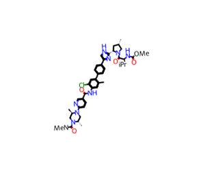 CNC(=O)N1C[C@@H](C)N(c2ccc(C(=O)Nc3cc(C)c(-c4ccc(-c5c[nH]c([C@@H]6C[C@H](C)CN6C(=O)[C@@H](NC(=O)OC)C(C)C)n5)cc4)cc3Cl)cn2)C[C@@H]1C